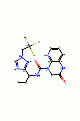 CCC(NC(=O)N1CC(=O)Nc2cccnc21)c1ncn(CC(F)(F)F)n1